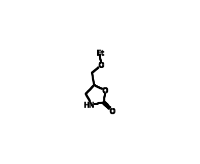 CCOCC1CNC(=O)O1